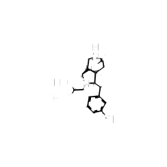 CC(C)CN1C(Cc2cccc(Cl)c2)C2CC3CC1C2CN3